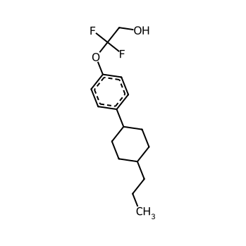 CCCC1CCC(c2ccc(OC(F)(F)CO)cc2)CC1